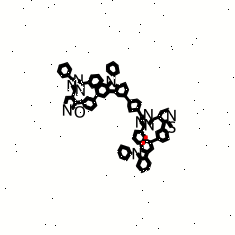 c1ccc(-c2nc(-c3ccccc3)nc(-c3ccnc4oc5ccc(-c6ccc7c(c6)c6cc(-c8ccc(-c9nc(-c%10ccccc%10)nc(-c%10ccnc%11sc%12ccc(-c%13ccc%14c(c%13)c%13ccccc%13n%14-c%13ccccc%13)cc%12c%10%11)n9)cc8)ccc6n7-c6ccccc6)cc5c34)n2)cc1